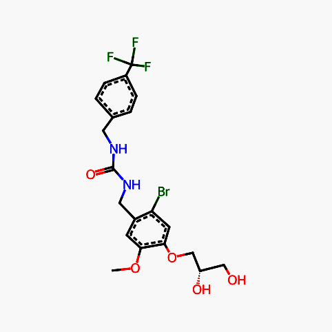 COc1cc(CNC(=O)NCc2ccc(C(F)(F)F)cc2)c(Br)cc1OC[C@@H](O)CO